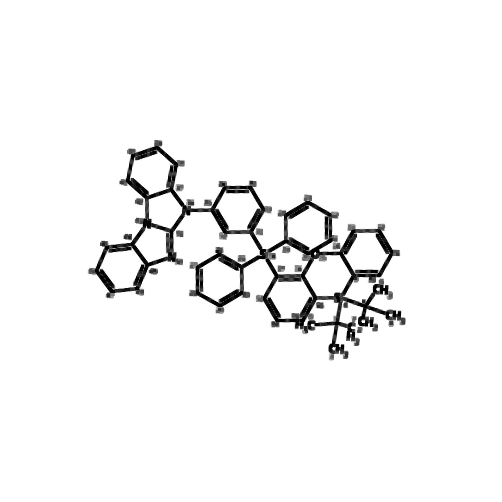 CC(C)(C)[Si]1(C(C)(C)C)c2ccccc2Oc2c([Si](c3ccccc3)(c3ccccc3)c3cccc(-n4c5ccccc5n5c6ccccc6nc45)c3)cccc21